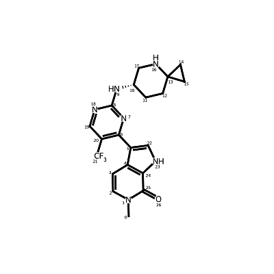 Cn1ccc2c(-c3nc(N[C@H]4CCC5(CC5)NC4)ncc3C(F)(F)F)c[nH]c2c1=O